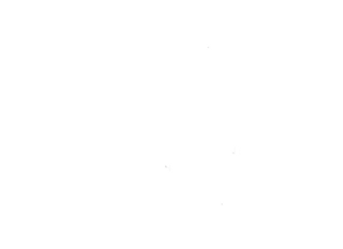 C[C@H](N)C(S)c1cc(C(F)(F)F)cc(C(F)(F)F)c1